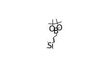 CC1(C)OB(C/C=C/[Si](C)(C)C)OC1(C)C